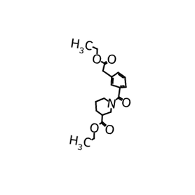 CCOC(=O)Cc1cccc(C(=O)N2CCCC(C(=O)OCC)C2)c1